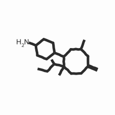 C=C1CCC(C)(C(C)CC)C(C2CCC(N)CC2)CC(C)C1